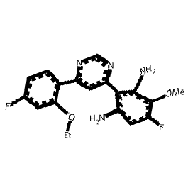 CCOc1cc(F)ccc1-c1cc(-c2c(N)cc(F)c(OC)c2N)ncn1